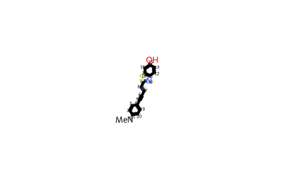 CNc1ccc(C#C/C=C/c2nc3ccc(O)cc3s2)cc1